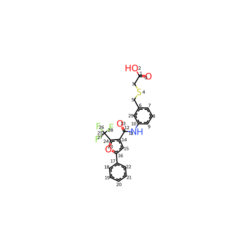 O=C(O)CSCc1cccc(NC(=O)c2cc(-c3ccccc3)oc2C(F)(F)F)c1